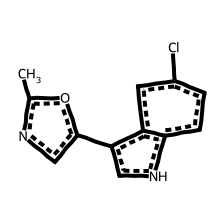 Cc1ncc(-c2c[nH]c3ccc(Cl)cc23)o1